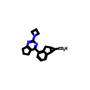 O=C(O)C1C2Cc3c(-c4nc(N5CCC5)nc5c4CCC5)cccc3C21